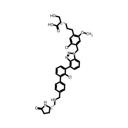 COc1cc(Cn2nnc3c(-c4cccc(-c5ccc(CNC[C@@H]6CCC(=O)N6)cc5)c4Cl)cccc32)c(Cl)cc1CCC[C@@H](CO)C(=O)O